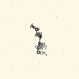 Cc1cccc(CNC(=O)/C(N)=C/N(N)CCCCn2cc(C(=O)NCc3cncc(N4CC(F)(F)C4)c3)nn2)c1